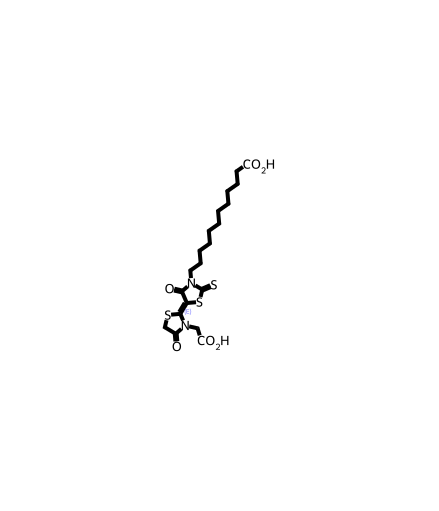 O=C(O)CCCCCCCCCCCN1C(=O)/C(=C2\SCC(=O)N2CC(=O)O)SC1=S